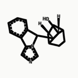 O[C@@H]1C2CCC(CC2)[C@@H]1C1c2ccccc2-c2cncn21